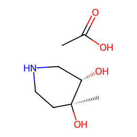 CC(=O)O.C[C@]1(O)CCNC[C@@H]1O